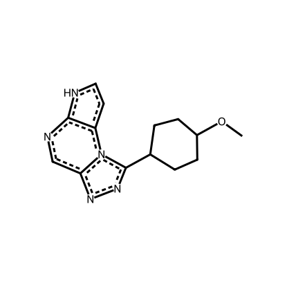 COC1CCC(c2nnc3cnc4[nH]ccc4n23)CC1